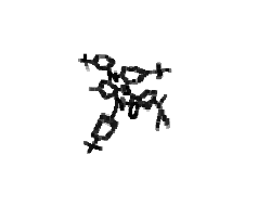 Cc1cc2c3c(c1)N(c1ccc(C(C)(C)C)cc1)c1oc4cc(C(C)(C)C)ccc4c1B3c1cc(C(C)(C)C)ccc1N2c1cccc(C(C)(C)C)c1